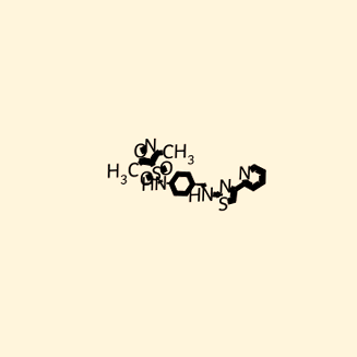 Cc1noc(C)c1S(=O)(=O)N[C@H]1CC[C@H](CNc2nc(-c3ccccn3)cs2)CC1